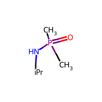 CC(C)NP(C)(C)=O